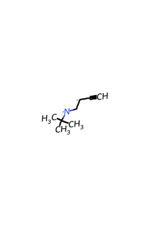 C#C[CH]C[N]C(C)(C)C